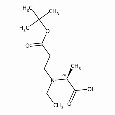 CCN(CCC(=O)OC(C)(C)C)[C@@H](C)C(=O)O